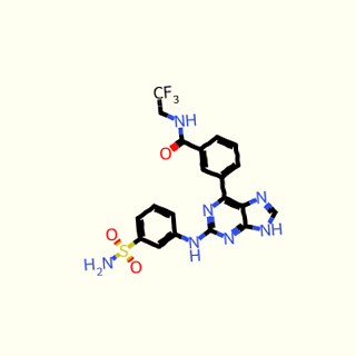 NS(=O)(=O)c1cccc(Nc2nc(-c3cccc(C(=O)NCC(F)(F)F)c3)c3nc[nH]c3n2)c1